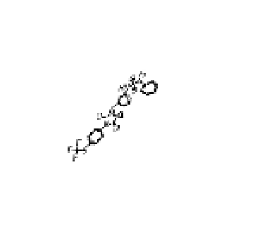 O=C1N(c2ccc(SC(F)(F)F)cc2)C(=O)C2(CC2)N1Cc1ccnc(NS(=O)(=O)Nc2ccccc2)c1